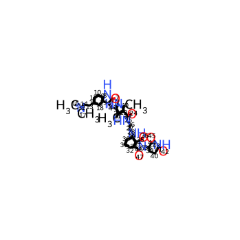 Cc1[nH]c(/C=C2\C(=O)Nc3ccc(CCN(C)C)cc32)c(C)c1C(=O)NCCNc1cccc2c1C(=O)N(C1CCC(=O)NC1=O)C2=O